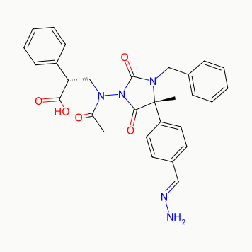 CC(=O)N(C[C@H](C(=O)O)c1ccccc1)N1C(=O)N(Cc2ccccc2)[C@](C)(c2ccc(C=NN)cc2)C1=O